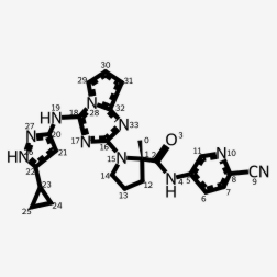 C[C@@]1(C(=O)Nc2ccc(C#N)nc2)CCCN1c1nc(Nc2cc(C3CC3)[nH]n2)n2cccc2n1